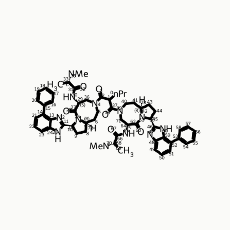 CCCC(C(=O)N1CC[C@H]2CC[C@@H](c3nc4c(-c5ccccc5)cccc4[nH]3)N2C(=O)[C@@H](NC(=O)[C@H](C)NC)C1)C(=O)N1CC[C@H]2CC[C@@H](c3nc4cccc(-c5ccccc5)c4[nH]3)N2C(=O)[C@@H](NC(=O)[C@H](C)NC)C1